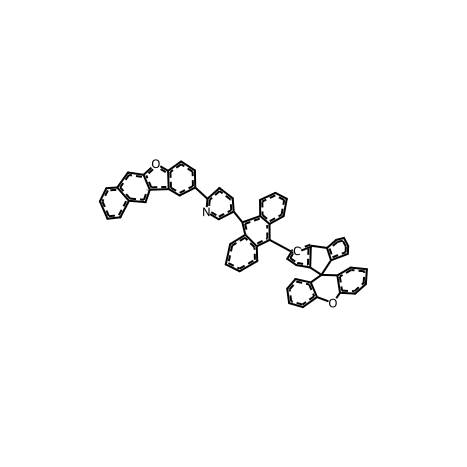 c1ccc2c(c1)Oc1ccccc1C21c2ccccc2-c2cc(-c3c4ccccc4c(-c4ccc(-c5ccc6oc7cc8ccccc8cc7c6c5)nc4)c4ccccc34)ccc21